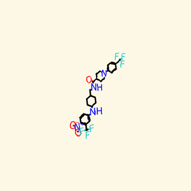 O=C(NCC1CCC(Nc2ccc([N+](=O)[O-])c(C(F)(F)F)c2)CC1)C1CCN(c2ccc(C(F)(F)F)cc2)CC1